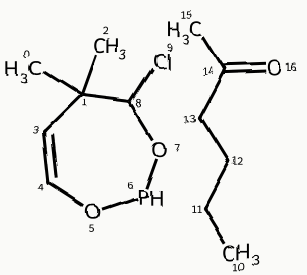 CC1(C)C=COPOC1Cl.CCCCC(C)=O